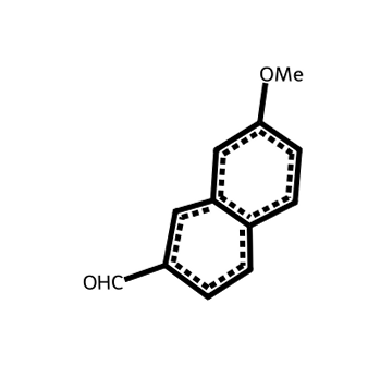 COc1ccc2ccc(C=O)cc2c1